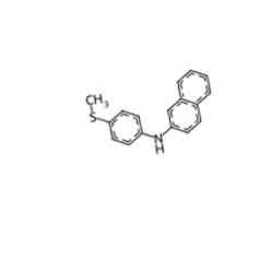 CSc1ccc(Nc2ccc3ccccc3c2)cc1